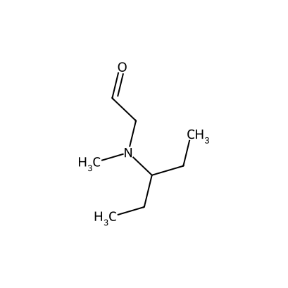 CCC(CC)N(C)CC=O